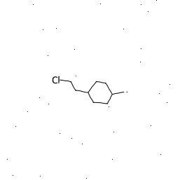 [CH2]C1CCC(CCCl)CC1